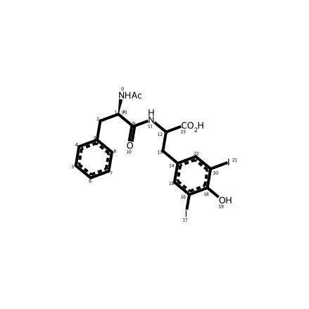 CC(=O)N[C@H](Cc1ccccc1)C(=O)NC(Cc1cc(I)c(O)c(I)c1)C(=O)O